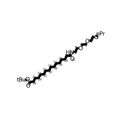 CCCOCCOCCOCCNC(=O)CCCCCCCCCCCCCCC(=O)OC(C)(C)C